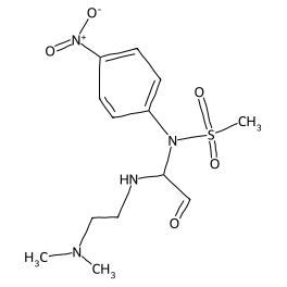 CN(C)CCNC(C=O)N(c1ccc([N+](=O)[O-])cc1)S(C)(=O)=O